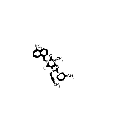 CC#CCn1c(N2CCCC(N)C2)nc2c1c(=O)n(Cc1cccc3c([N+](=O)[O-])cccc13)c(=O)n2C